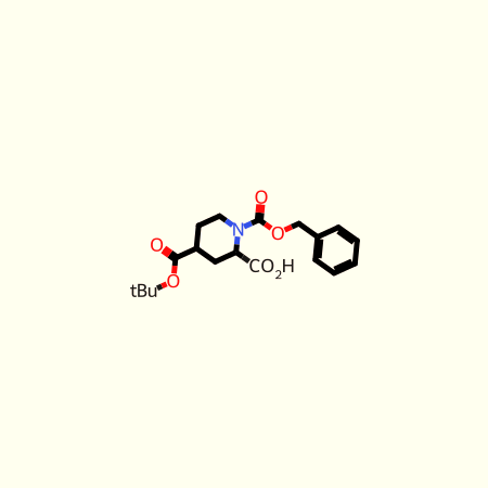 CC(C)(C)OC(=O)C1CCN(C(=O)OCc2ccccc2)C(C(=O)O)C1